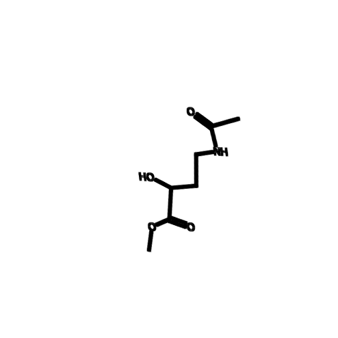 COC(=O)C(O)CCNC(C)=O